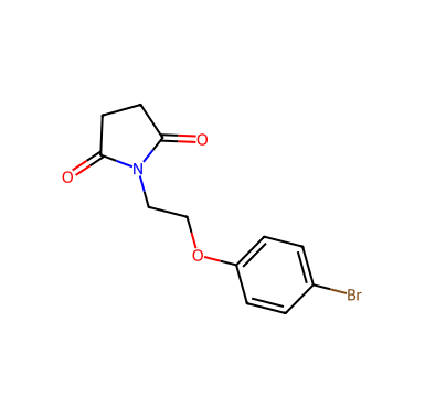 O=C1CCC(=O)N1CCOc1ccc(Br)cc1